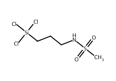 CS(=O)(=O)NCCC[Si](Cl)(Cl)Cl